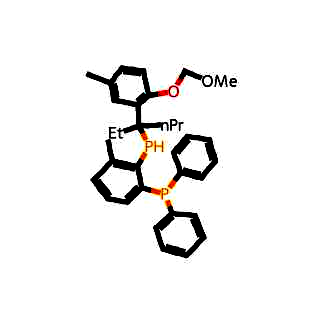 CCCC(CC)(Pc1c(C)cccc1P(c1ccccc1)c1ccccc1)c1cc(C)ccc1OCOC